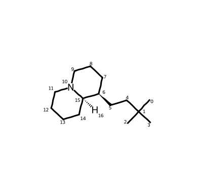 CC(C)(C)CC[C@@H]1CCCN2CCCC[C@H]12